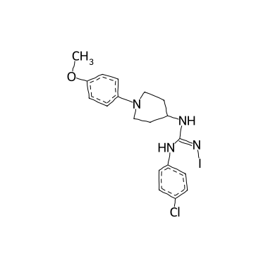 COc1ccc(N2CCC(N/C(=N/I)Nc3ccc(Cl)cc3)CC2)cc1